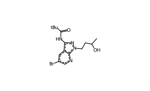 CC(O)CCn1nc(NC(=O)C(C)(C)C)c2cc(Br)cnc21